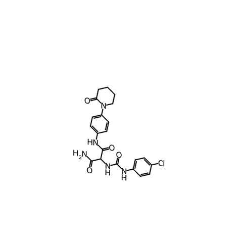 NC(=O)C(NC(=O)Nc1ccc(Cl)cc1)C(=O)Nc1ccc(N2CCCCC2=O)cc1